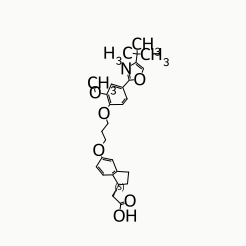 COc1cc(-c2nc(C(C)(C)C)co2)ccc1OCCCOc1ccc2c(c1)CC[C@H]2CC(=O)O